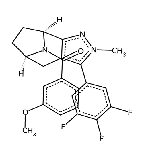 COc1cccc(C(=O)N2[C@@H]3CC[C@H]2c2nn(C)c(-c4cc(F)c(F)c(F)c4)c2C3)c1